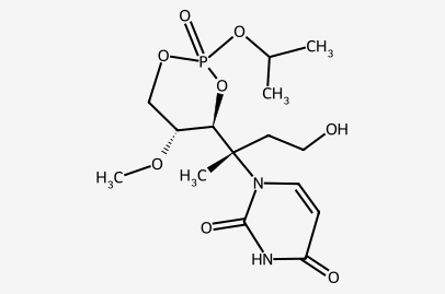 CO[C@@H]1COP(=O)(OC(C)C)O[C@H]1[C@](C)(CCO)n1ccc(=O)[nH]c1=O